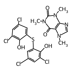 Cn1c(=O)c2c(ncn2C)n(C)c1=O.Oc1c(Cl)cc(Cl)cc1Sc1cc(Cl)cc(Cl)c1O